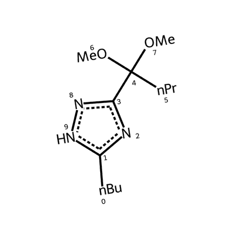 CCCCc1nc(C(CCC)(OC)OC)n[nH]1